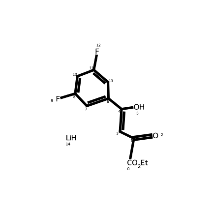 CCOC(=O)C(=O)C=C(O)c1cc(F)cc(F)c1.[LiH]